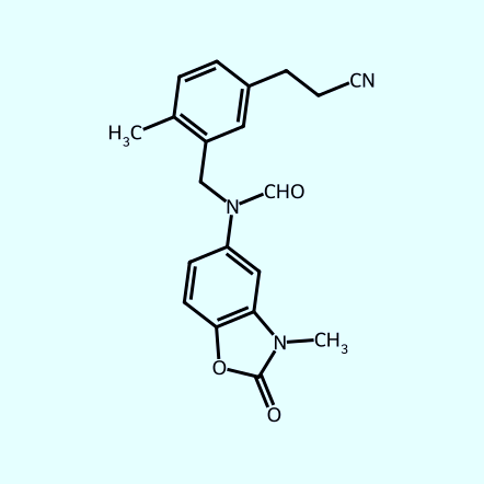 Cc1ccc(CCC#N)cc1CN(C=O)c1ccc2oc(=O)n(C)c2c1